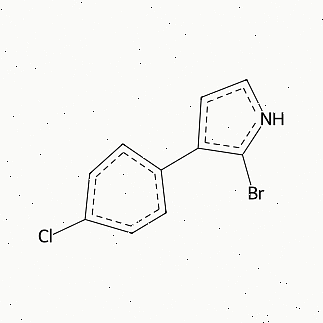 Clc1ccc(-c2cc[nH]c2Br)cc1